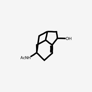 CC(=O)NC12CC=C3C(O)CC(C1)C3C2